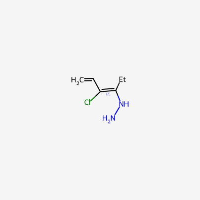 C=C/C(Cl)=C(\CC)NN